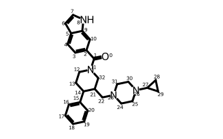 O=C(c1ccc2cc[nH]c2c1)N1CCC(c2ccccc2)C(CN2CCN(C3CC3)CC2)C1